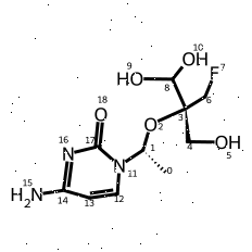 C[C@@H](O[C@@](CO)(CF)C(O)O)n1ccc(N)nc1=O